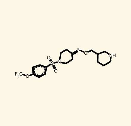 O=S(=O)(c1ccc(OC(F)(F)F)cc1)N1CCC(=NOCC2CCCNC2)CC1